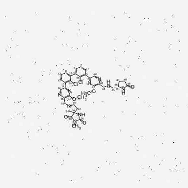 COc1nc(-c2cccc(-c3cccc(-c4cnc(CN5CCC6(C5)NC(=O)N(C)C6=O)c(OC)n4)c3Cl)c2Cl)cnc1CNC[C@@H]1CCC(=O)N1